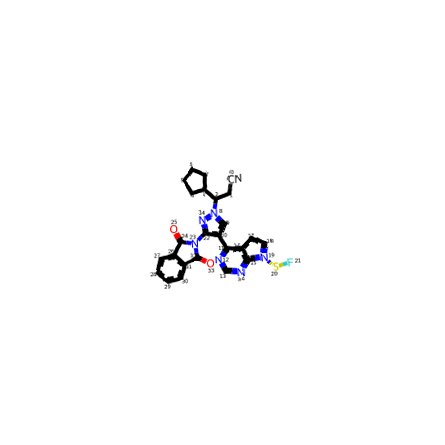 N#CCC(C1CCCC1)n1cc(-c2ncnc3c2ccn3SF)c(N2C(=O)c3ccccc3C2=O)n1